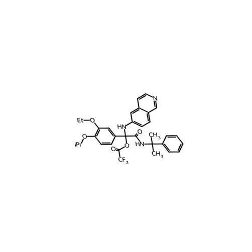 CCOc1cc(C(Nc2ccc3cnccc3c2)(OC(=O)C(F)(F)F)C(=O)NC(C)(C)c2ccccc2)ccc1OC(C)C